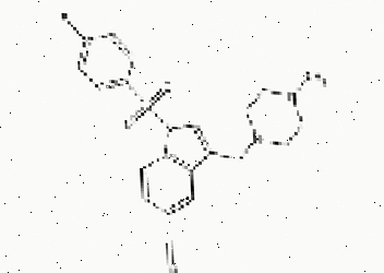 CN1CCN(Cc2cn(S(=O)(=O)c3ccc(F)cc3)c3ccc(C#N)cc23)CC1